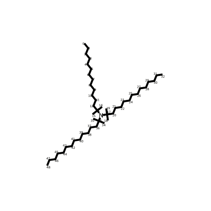 CCCCCCCCCCCCCC(C)(C)N(C(C)(C)CCCCCCCCCCCCC)C(C)(C)CCCCCCCCCCCCC